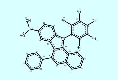 [2H]c1c([2H])c([2H])c(-n2c3ccc(B(O)O)cc3c3c(-c4ccccc4)cc4ccccc4c32)c([2H])c1[2H]